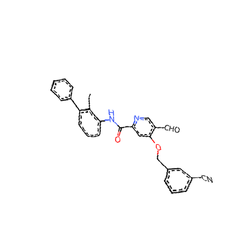 Cc1c(NC(=O)c2cc(OCc3cccc(C#N)c3)c(C=O)cn2)cccc1-c1ccccc1